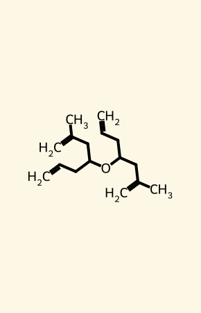 C=CCC(CC(=C)C)OC(CC=C)CC(=C)C